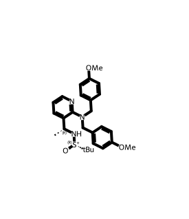 COc1ccc(CN(Cc2ccc(OC)cc2)c2ncccc2[C@@H](C)N[S@@+]([O-])C(C)(C)C)cc1